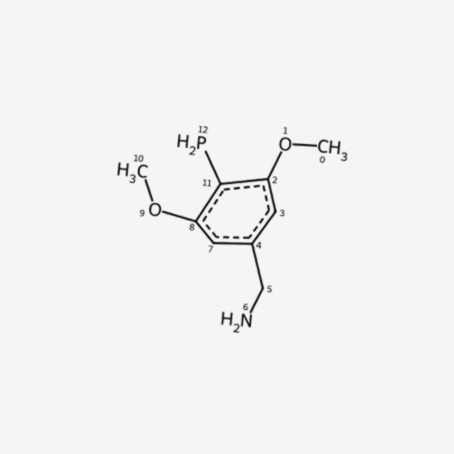 COc1cc(CN)cc(OC)c1P